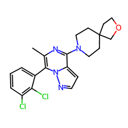 Cc1nc(N2CCC3(CCOC3)CC2)c2ccnn2c1-c1cccc(Cl)c1Cl